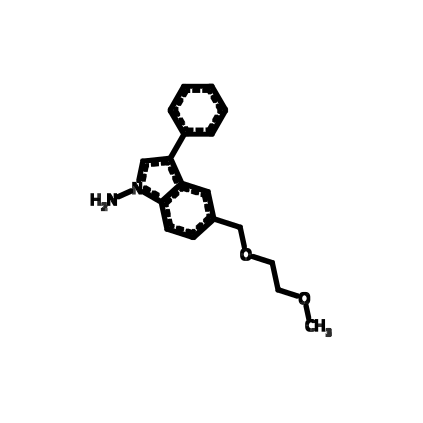 COCCOCc1ccc2c(c1)c(-c1ccccc1)cn2N